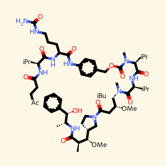 CC[C@H](C)[C@@H]([C@@H](CC(=O)N1CC[C@@H]([C@H](OC)[C@@H](C)C(=O)N[C@H](C)[C@@H](O)c2ccccc2)C1)OC)N(C)C(=O)[C@@H](NC(=O)[C@H](C(C)C)N(C)C(=O)OCc1ccc(NC(=O)C(CCCNC(N)=O)NC(=O)[C@@H](NC(=O)CCC(C)=O)C(C)C)cc1)C(C)C